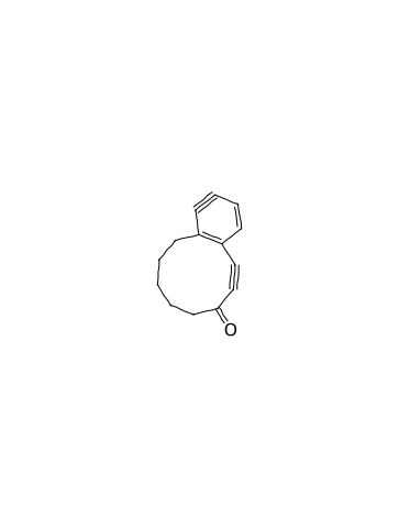 O=C1C#Cc2ccc#cc2CCCCC1